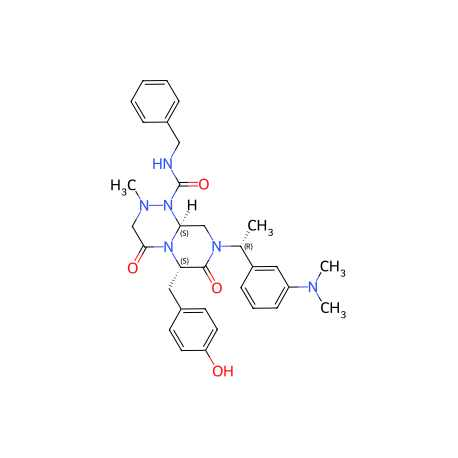 C[C@H](c1cccc(N(C)C)c1)N1C[C@H]2N(C(=O)CN(C)N2C(=O)NCc2ccccc2)[C@@H](Cc2ccc(O)cc2)C1=O